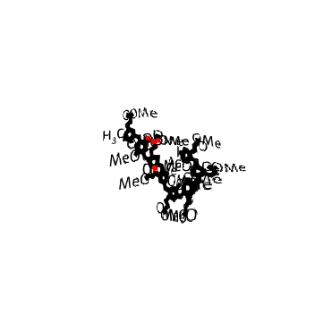 COC(=O)CCc1cc(Cc2cc(OC)c(Cc3cc(OC)c(Cc4cc(OC)c(Cc5cc(OC)c(Cc6cc(OC)c(Cc7cc(OC)c(Cc8cc(C(C)=O)c(I)cc8CCC(=O)OC)cc7CCC(=O)OC)cc6CCC(=O)OC)cc5CCC(=O)OC)cc4CCC(=O)OC)cc3CCC(=O)OC)cc2CCC(=O)OC)c(OC)cc1C